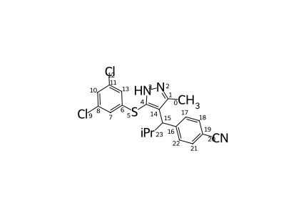 Cc1n[nH]c(Sc2cc(Cl)cc(Cl)c2)c1C(c1ccc(C#N)cc1)C(C)C